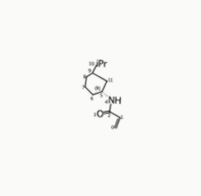 C=CC(=O)N[C@@H]1CCCC(C(C)C)C1